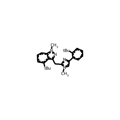 Cn1cc(-c2ccccc2C(C)(C)C)nc1Cc1nn(C)c2cccc(C(C)(C)C)c12